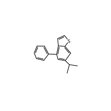 CC(C)c1cc(-c2ccccc2)c2ccsc2c1